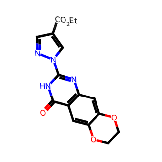 CCOC(=O)c1cnn(-c2nc3cc4c(cc3c(=O)[nH]2)OCCO4)c1